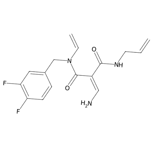 C=CCNC(=O)/C(=C/N)C(=O)N(C=C)Cc1ccc(F)c(F)c1